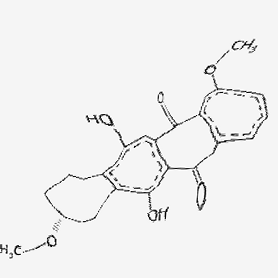 COc1cccc2c1C(=O)c1c(O)c3c(c(O)c1C2=O)C[C@H](OC)CC3